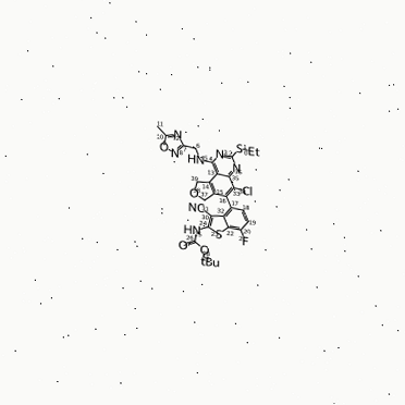 CCSc1nc(NCc2noc(C)n2)c2c3c(c(-c4ccc(F)c5sc(NC(=O)OC(C)(C)C)c(C#N)c45)c(Cl)c2n1)COC3